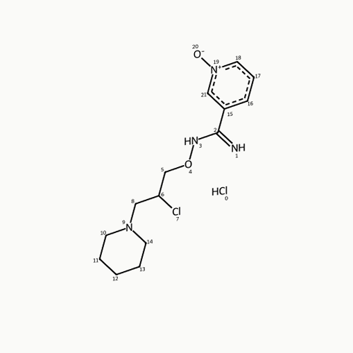 Cl.N=C(NOCC(Cl)CN1CCCCC1)c1ccc[n+]([O-])c1